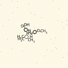 CCOc1ccc(Nc2nc3cc(C(=O)O)ccc3n2C2C[C@@H](C)CC(C)(C)C2)cc1